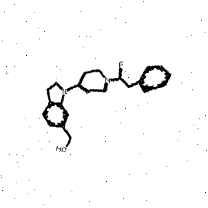 OCc1ccc2c(c1)N(C1CCN(C(F)Cc3ccccc3)CC1)CC2